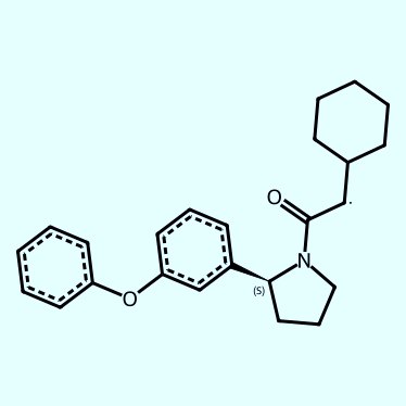 O=C([CH]C1CCCCC1)N1CCC[C@H]1c1cccc(Oc2ccccc2)c1